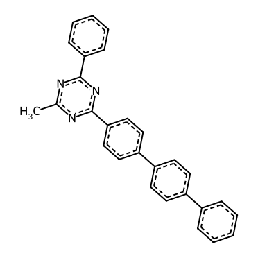 Cc1nc(-c2ccccc2)nc(-c2ccc(-c3ccc(-c4ccccc4)cc3)cc2)n1